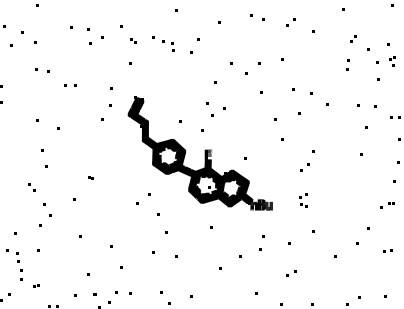 C=CCCc1ccc(-c2ccc3cc(CCCC)ccc3c2F)cc1